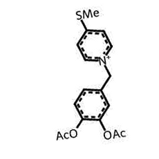 CSc1cc[n+](Cc2ccc(OC(C)=O)c(OC(C)=O)c2)cc1